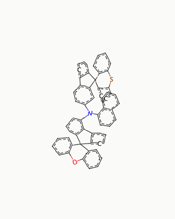 c1ccc2c(c1)Oc1ccccc1C21c2ccccc2-c2c(N(c3ccc4c(c3)C3(c5ccccc5Sc5ccccc53)c3ccccc3-4)c3cccc4ccccc34)cccc21